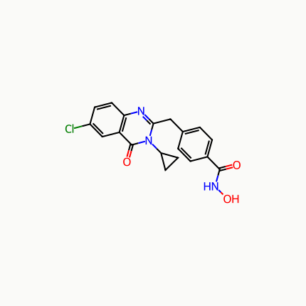 O=C(NO)c1ccc(Cc2nc3ccc(Cl)cc3c(=O)n2C2CC2)cc1